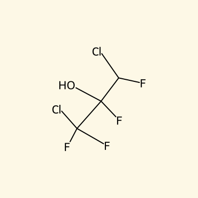 OC(F)(C(F)Cl)C(F)(F)Cl